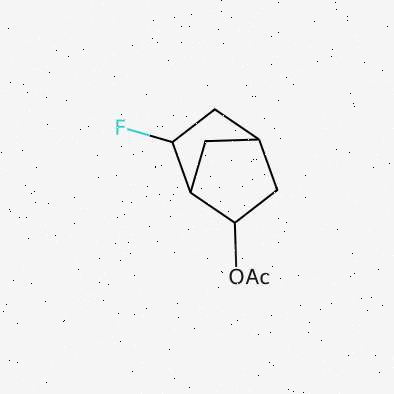 CC(=O)OC1CC2CC(F)C1C2